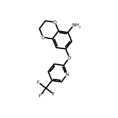 Nc1cc(Oc2ccc(C(F)(F)F)cn2)cc2c1OCCO2